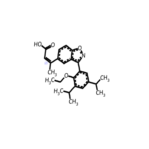 CCOc1c(-c2noc3ccc(/C(C)=C\C(=O)O)cc23)cc(C(C)C)cc1C(C)C